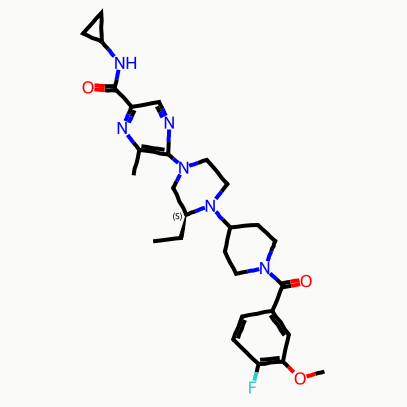 CC[C@H]1CN(c2ncc(C(=O)NC3CC3)nc2C)CCN1C1CCN(C(=O)c2ccc(F)c(OC)c2)CC1